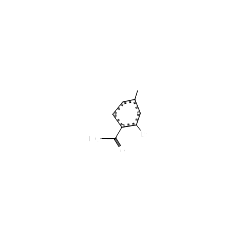 O=C(O)c1ccc(I)cc1Br